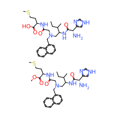 CCC(C)C(CN(CC(=O)NC(CCSC)C(=O)O)Cc1cccc2ccccc12)NC(=O)[C@@H](N)c1c[nH]cn1.CCC(C)C(CN(CC(=O)NC(CCSC)C(=O)OC)Cc1cccc2ccccc12)NC(=O)[C@@H](N)c1c[nH]cn1